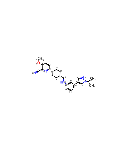 COc1ccc([C@H]2CC[C@H](CNc3cccc(-c4cnn(C(C)C)c4)c3)CC2)nc1C#N